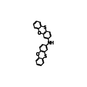 c1ccc2c(c1)Oc1cc(Nc3ccc4c(c3)Sc3ccccc3O4)ccc1S2